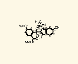 COC(=O)c1ccc(OC)cc1C(C)(C)c1cc2ccc(C#N)cc2n1S(C)(=O)=O